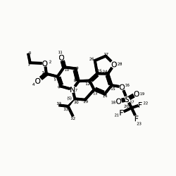 CCOC(=O)c1cn2c(cc1=O)-c1c(cc(OS(=O)(=O)C(F)(F)F)c3c1CCO3)C[C@H]2C(C)C